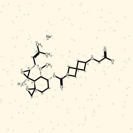 CO[C@@H]1[C@H](OC(=O)N2CC3(CC(OCC(=O)[O-])C3)C2)CC[C@]2(CO2)[C@H]1[C@@]1(C)O[C@@H]1CC=C(C)C.[Na+]